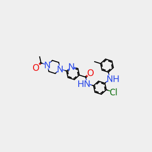 CC(=O)N1CCN(c2ccc(C(=O)Nc3ccc(Cl)c(Nc4cccc(C)c4)c3)cn2)CC1